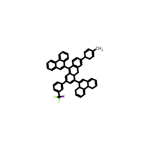 CC1=CCC(c2ccc3c(c2)CC2C(C4=CC5=CC=CCC5C5=CC=CCC45)=CC(c4cccc(C(F)(F)I)c4)=CC2=C3c2cc3ccccc3c3ccccc23)C=C1